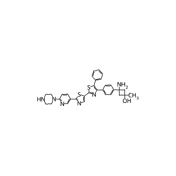 CC1(O)CC(N)(c2ccc(-c3nc(-c4cnc(-c5ccc(N6CCNCC6)nc5)s4)sc3-c3ccccc3)cc2)C1